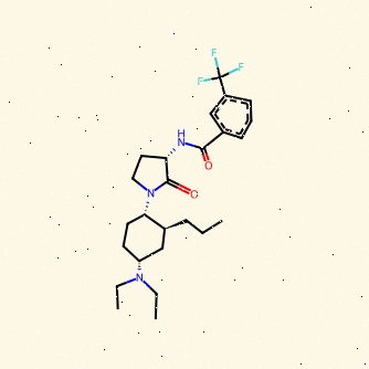 CCC[C@H]1C[C@H](N(CC)CC)CC[C@@H]1N1CC[C@H](NC(=O)c2cccc(C(F)(F)F)c2)C1=O